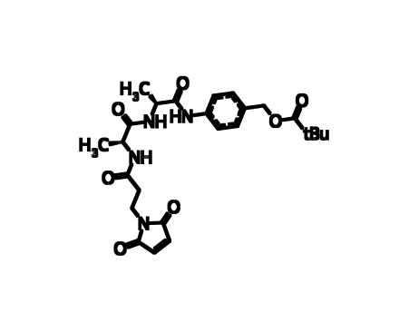 C[C@H](NC(=O)CCN1C(=O)C=CC1=O)C(=O)N[C@@H](C)C(=O)Nc1ccc(COC(=O)C(C)(C)C)cc1